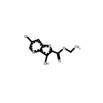 CCOC(=O)c1oc2cc(Cl)cnc2c1O